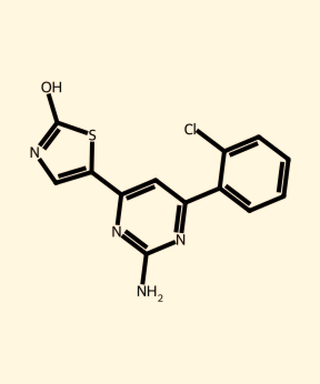 Nc1nc(-c2cnc(O)s2)cc(-c2ccccc2Cl)n1